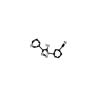 [2H]c1c(-c2cccnc2)nnn1-c1cccc(C#N)c1